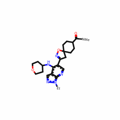 CCn1ncc2c(NC3CCOCC3)c(C3=NOC4(CCC(C(=O)NC)CC4)C3)cnc21